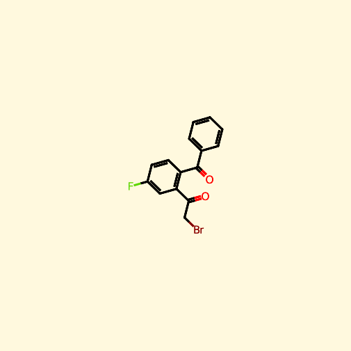 O=C(CBr)c1cc(F)ccc1C(=O)c1ccccc1